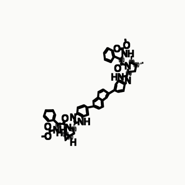 COC(=O)N[C@@H](C(=O)N1[C@H](C)[C@H](C)C[C@H]1c1nc2ccc(-c3ccc4cc(-c5ccc6nc([C@@H]7C[C@H]8C[C@H]8N7C(=O)[C@H](NC(=O)OC)c7ccccc7)[nH]c6c5)ccc4c3)cc2[nH]1)c1ccccc1